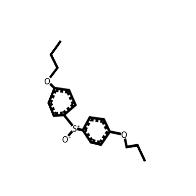 CCCOc1ccc([S+]([O-])c2ccc(OCCC)cc2)cc1